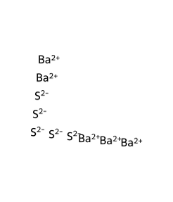 [Ba+2].[Ba+2].[Ba+2].[Ba+2].[Ba+2].[S-2].[S-2].[S-2].[S-2].[S-2]